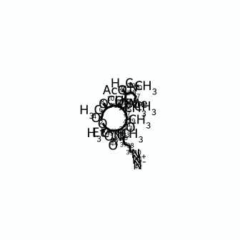 CC[C@@H]1OC(=O)[C@H](C)C(=O)[C@H](C)[C@@H](OC2OC(C)CC(N(C)C)C2OC(C)=O)C(C)(OC)C[C@@H](C)C(=O)[C@H](C)[C@H]2N(CCCCN=[N+]=[N-])C(=O)O[C@]12C